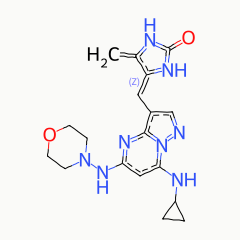 C=c1[nH]c(=O)[nH]/c1=C\c1cnn2c(NC3CC3)cc(NN3CCOCC3)nc12